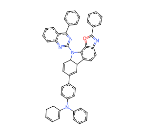 C1=CCCC(N(c2ccccc2)c2ccc(C3=CC4c5ccc6nc(-c7ccccc7)oc6c5N(c5nc(-c6ccccc6)c6ccccc6n5)C4C=C3)cc2)=C1